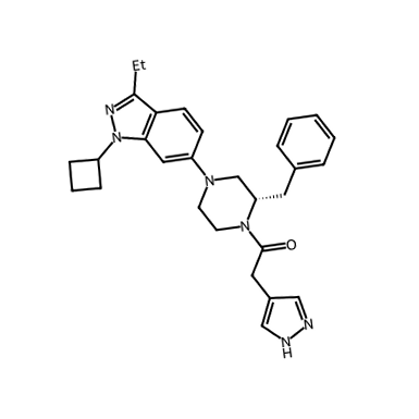 CCc1nn(C2CCC2)c2cc(N3CCN(C(=O)Cc4cn[nH]c4)[C@@H](Cc4ccccc4)C3)ccc12